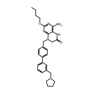 CCCCOc1nc(N)c2c(n1)N(Cc1ccc(-c3cccc(CN4CCCC4)c3)cc1)CC(=O)N2